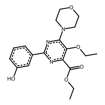 CCOC(=O)c1nc(-c2cccc(O)c2)nc(N2CCOCC2)c1OCC